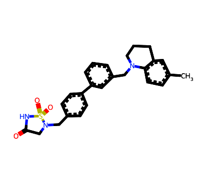 Cc1ccc2c(c1)CCCN2Cc1cccc(-c2ccc(CN3CC(=O)NS3(=O)=O)cc2)c1